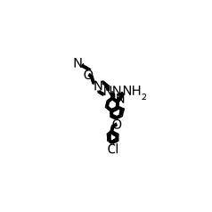 N#CCOCCN1CCN(c2nc(N)nc3c2CCc2cc(OCc4ccc(Cl)cc4)ccc2-3)CC1